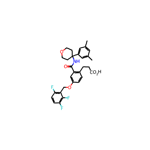 Cc1cc(C)cc(C2(NC(=O)c3cc(OCc4c(F)ccc(F)c4F)ccc3CCC(=O)O)CCOCC2)c1